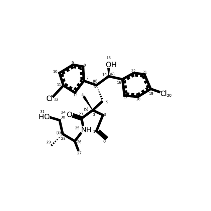 C=CC[C@@](C)(C[C@H](c1cccc(Cl)c1)[C@@H](O)c1ccc(Cl)cc1)C(=O)NC(C)[C@H](C)CO